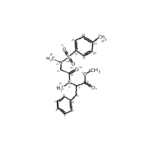 COC(=O)C(Cc1ccccc1)N(C)C(=O)CN(C)S(=O)(=O)c1ccc(C)cc1